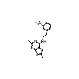 Cc1nc(NCCc2cccc(C(F)(F)F)c2)c2cc(C)sc2n1